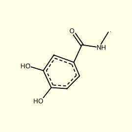 [CH2]NC(=O)c1ccc(O)c(O)c1